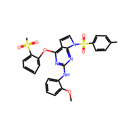 COc1ccccc1Nc1nc(Oc2ccccc2S(C)(=O)=O)c2ccn(S(=O)(=O)c3ccc(C)cc3)c2n1